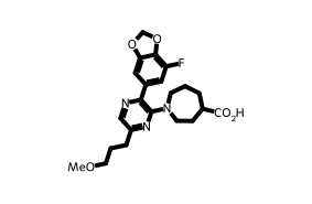 COCCCc1cnc(-c2cc(F)c3c(c2)OCO3)c(N2CCCC(C(=O)O)CC2)n1